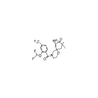 CC1(C)CC2(C=C(N)C1=O)CN(C(=O)c1ccc(C(F)(F)F)cc1OC(F)F)CCO2